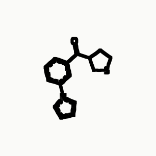 O=C(c1cccc(-n2cccc2)c1)C1CCSC1